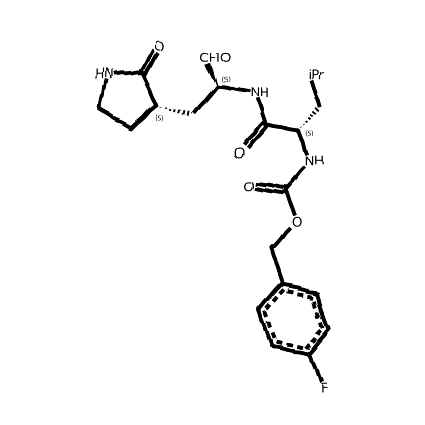 CC(C)C[C@H](NC(=O)OCc1ccc(F)cc1)C(=O)N[C@H](C=O)C[C@@H]1CCNC1=O